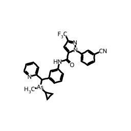 C[As](C1CC1)C(c1cccc(NC(=O)c2cc(C(F)(F)F)nn2-c2cccc(C#N)c2)c1)c1ccccn1